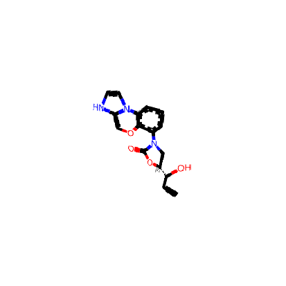 C=CC(O)[C@H]1CN(c2cccc3c2OC=C2NC=CN23)C(=O)O1